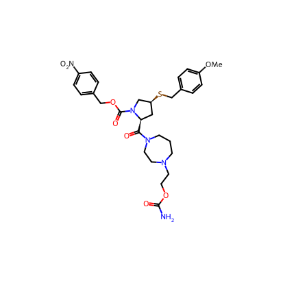 COc1ccc(CS[C@H]2C[C@@H](C(=O)N3CCCN(CCOC(N)=O)CC3)N(C(=O)OCc3ccc([N+](=O)[O-])cc3)C2)cc1